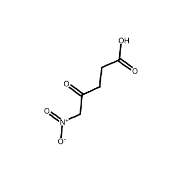 O=C(O)CCC(=O)C[N+](=O)[O-]